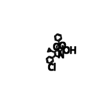 O=C(O)c1ncc(-c2cccc(Cl)c2)c(C2CC2)c1OCc1ccccc1